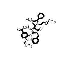 CCNc1ccc(C(C)=O)cc1N=C1SC(=C2SC(C)=C(c3ccccc3)N2CCOC)C(=O)N1Cc1ccccc1